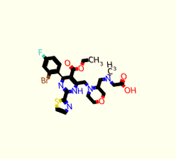 CCOC(=O)C1=C(CN2CCOCC2CN(C)CC(=O)O)NC(c2nccs2)=N[C@H]1c1ccc(F)cc1Br